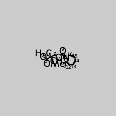 COC(=O)C(C)(C)COC(=O)N1C=CC=CC=C1